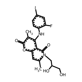 Cc1c(Nc2ccc(I)cc2F)c2c(=O)n(CC(O)CO)c(C)cc2oc1=O